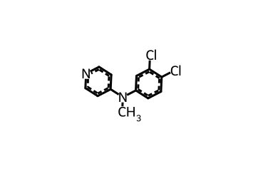 CN(c1ccncc1)c1ccc(Cl)c(Cl)c1